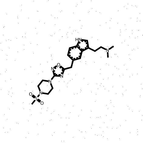 CN(C)CCc1c[nH]c2ccc(Cc3nc(N4CCN(S(C)(=O)=O)CC4)no3)cc12